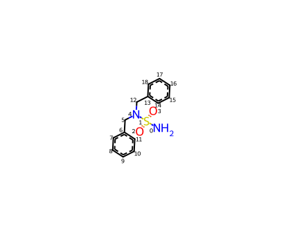 NS(=O)(=O)N(Cc1ccccc1)Cc1ccccc1